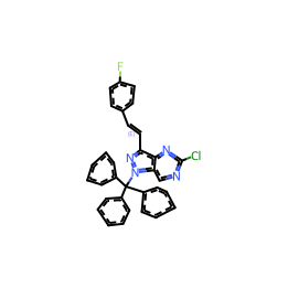 Fc1ccc(/C=C/c2nn(C(c3ccccc3)(c3ccccc3)c3ccccc3)c3cnc(Cl)nc23)cc1